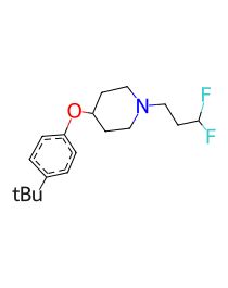 CC(C)(C)c1ccc(OC2CCN(CCC(F)F)CC2)cc1